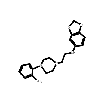 Cc1ccccc1N1CCN(CCNc2ccc3c(c2)OCO3)CC1